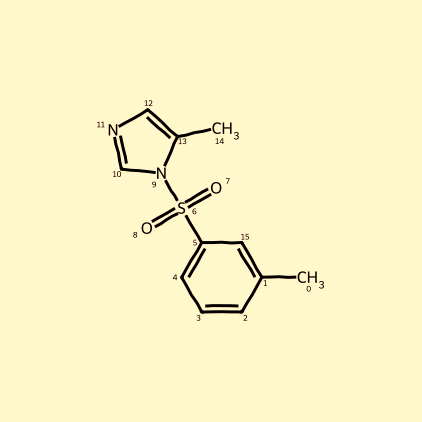 Cc1cccc(S(=O)(=O)n2cncc2C)c1